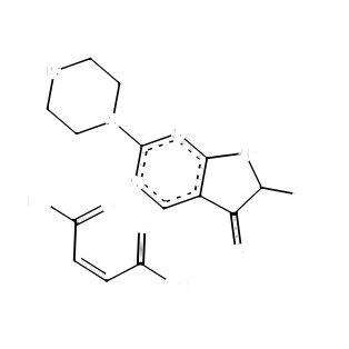 CC1Nc2nc(N3CCNCC3)ncc2C1=O.O=C(O)/C=C\C(=O)O